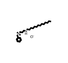 CCCCCCCCCCCCCCNCCC[N+](C)(C)Cc1ccccc1.[Cl-]